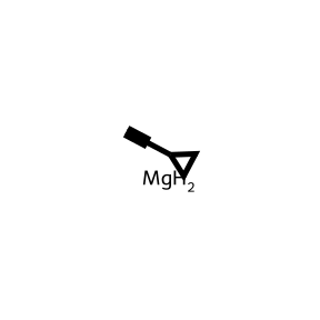 C#CC1CC1.[MgH2]